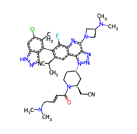 Cc1c(Cl)cc2[nH]ncc2c1-c1c(C(C)C#N)cc2c(nc(N3CC(N(C)C)C3)c3nnn([C@H]4CCN(C(=O)/C=C/CN(C)C)[C@H](CC#N)C4)c32)c1F